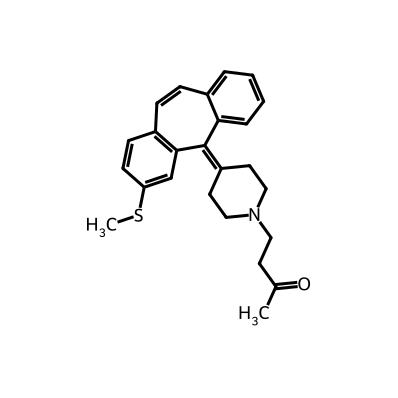 CSc1ccc2c(c1)C(=C1CCN(CCC(C)=O)CC1)c1ccccc1C=C2